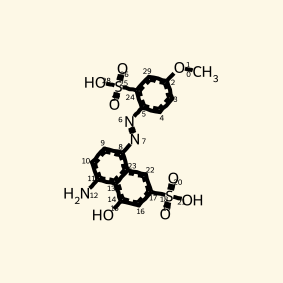 COc1ccc(N=Nc2ccc(N)c3c(O)cc(S(=O)(=O)O)cc23)c(S(=O)(=O)O)c1